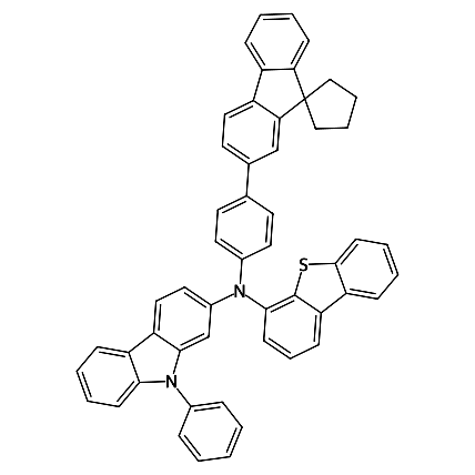 c1ccc(-n2c3ccccc3c3ccc(N(c4ccc(-c5ccc6c(c5)C5(CCCC5)c5ccccc5-6)cc4)c4cccc5c4sc4ccccc45)cc32)cc1